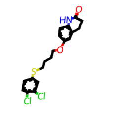 O=C1CCc2cc(OCCCCSc3ccc(Cl)c(Cl)c3)ccc2N1